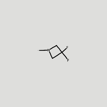 [CH2]N1CC(F)(F)C1